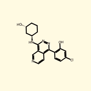 Oc1cc(Cl)ccc1-c1nnc(N[C@@H]2CCC[C@@H](O)C2)c2cnccc12